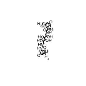 Cc1cc(=O)nc(NC(=O)NCC(O)C(O)C(O)C(O)CNC(=O)Nc2nc(=O)cc(C)[nH]2)[nH]1